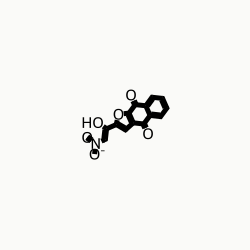 O=C1c2ccccc2C(=O)c2oc(/C(O)=C/[N+](=O)[O-])cc21